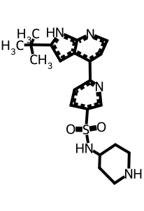 CC(C)(C)c1cc2c(-c3ccc(S(=O)(=O)NC4CCNCC4)cn3)ccnc2[nH]1